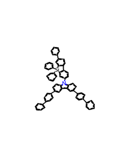 c1ccc(-c2ccc(-c3ccc4c(c3)c3cc(-c5ccc(-c6ccccc6)cc5)ccc3n4-c3ccc4c(c3)[Si](c3ccccc3)(c3ccccc3)c3cc(-c5ccccc5)ccc3-4)cc2)cc1